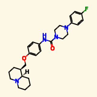 O=C(Nc1ccc(OC[C@@H]2CCCN3CCCC[C@H]23)cc1)N1CCN(c2ccc(F)cc2)CC1